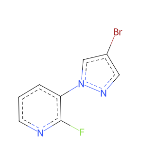 Fc1ncccc1-n1cc(Br)cn1